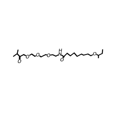 CCC(C)OCCCCCCCCC(=O)NCCOCCOCCOCC(=O)C(C)C